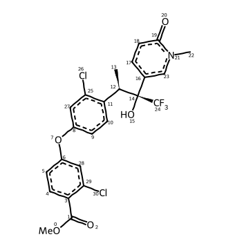 COC(=O)c1ccc(Oc2ccc([C@@H](C)[C@@](O)(c3ccc(=O)n(C)c3)C(F)(F)F)c(Cl)c2)cc1Cl